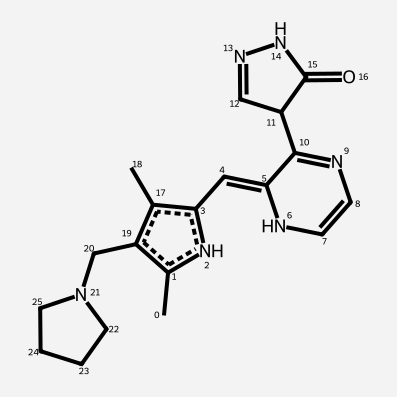 Cc1[nH]c(C=C2NC=CN=C2C2C=NNC2=O)c(C)c1CN1CCCC1